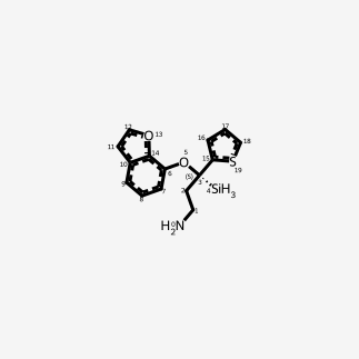 NCC[C@@]([SiH3])(Oc1cccc2ccoc12)c1cccs1